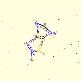 c1nc2nnsc2[nH]1